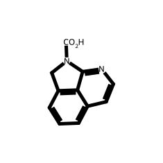 O=C(O)N1Cc2cccc3ccnc1c23